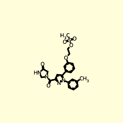 Cc1cccc(-n2nc(C(=O)N3CNC(=O)C3)cc2-c2cccc(OCCOS(C)(=O)=O)c2)c1